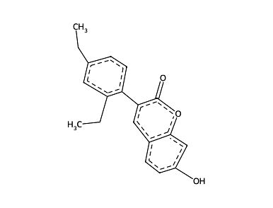 CCc1ccc(-c2cc3ccc(O)cc3oc2=O)c(CC)c1